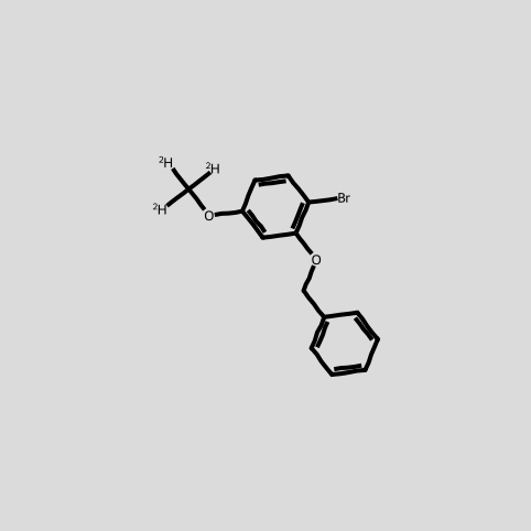 [2H]C([2H])([2H])Oc1ccc(Br)c(OCc2ccccc2)c1